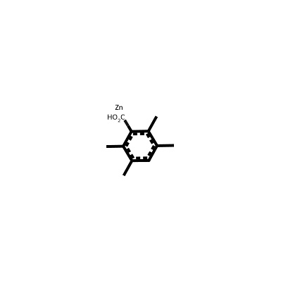 Cc1cc(C)c(C)c(C(=O)O)c1C.[Zn]